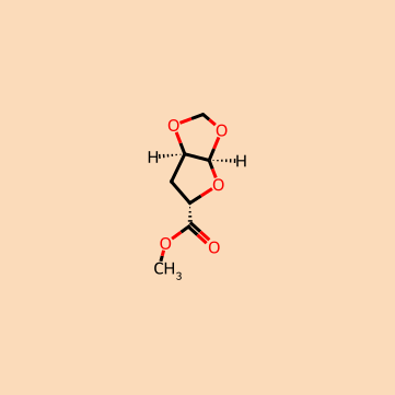 COC(=O)[C@@H]1C[C@H]2OCO[C@H]2O1